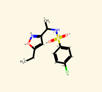 CCc1cc(C(C)NS(=O)(=O)c2ccc(Cl)cc2)no1